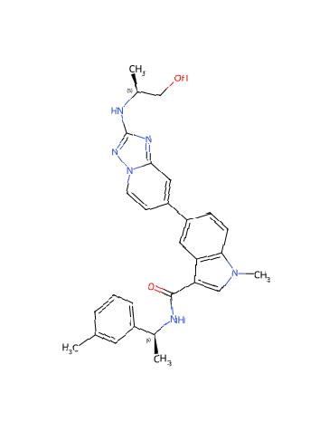 Cc1cccc([C@H](C)NC(=O)c2cn(C)c3ccc(-c4ccn5nc(N[C@@H](C)CO)nc5c4)cc23)c1